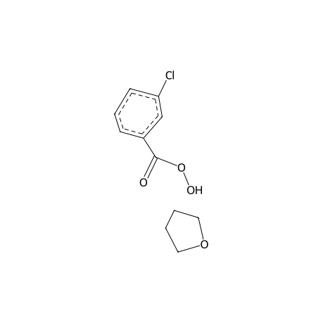 C1CCOC1.O=C(OO)c1cccc(Cl)c1